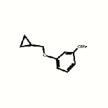 COc1cccc(OCC2CC2)c1